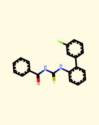 O=C(NC(=S)Nc1ccccc1-c1cccc(F)c1)c1ccccc1